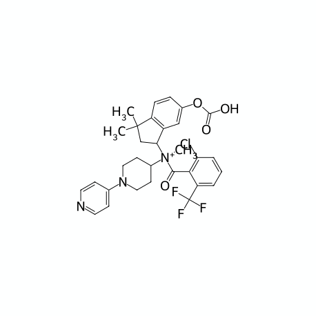 CC1(C)CC([N+](C)(C(=O)c2c(Cl)cccc2C(F)(F)F)C2CCN(c3ccncc3)CC2)c2cc(OC(=O)O)ccc21